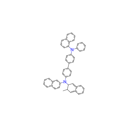 CC1C=c2ccccc2=CC1N(c1ccc(-c2ccc(N(c3ccccc3)c3cccc4ccccc34)cc2)cc1)c1ccc2ccccc2c1